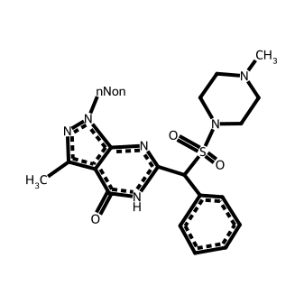 CCCCCCCCCn1nc(C)c2c(=O)[nH]c(C(c3ccccc3)S(=O)(=O)N3CCN(C)CC3)nc21